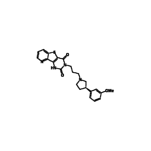 COc1cccc([C@H]2CCN(CCCn3c(=O)[nH]c4c(sc5cccnc54)c3=O)C2)c1